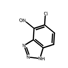 O=Nc1c(Cl)ccc2[nH]nnc12